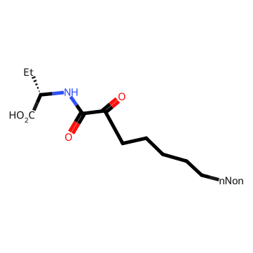 CCCCCCCCCCCCCCC(=O)C(=O)N[C@@H](CC)C(=O)O